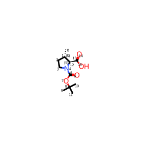 C[C@H]1CCN(C(=O)OC(C)(C)C)[C@@H]1C(=O)O